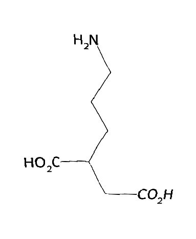 NCCCC(CC(=O)O)C(=O)O